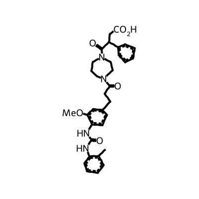 COc1cc(CCC(=O)N2CCCN(C(=O)C(CC(=O)O)c3ccccc3)CC2)ccc1NC(=O)Nc1ccccc1C